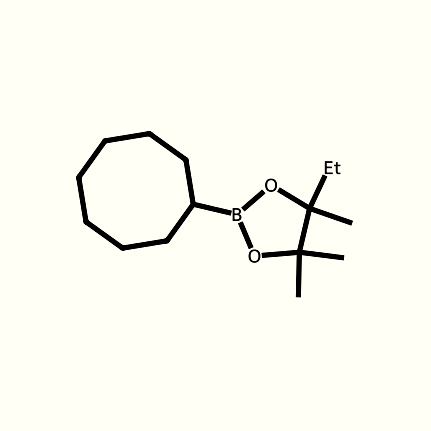 CCC1(C)OB(C2CCCCCCC2)OC1(C)C